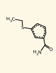 CCSc1cccc(C(N)=O)c1